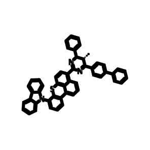 C[C@@H]1C(c2ccc(-c3ccccc3)cc2)=NC(c2ccc3c4c(cccc24)-c2cccc(-n4c5ccccc5c5ccccc54)c2S3)=NC1c1ccccc1